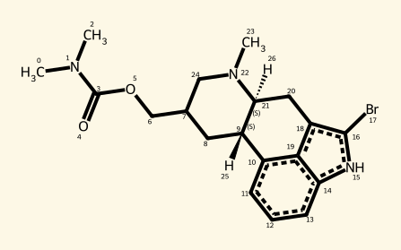 CN(C)C(=O)OCC1C[C@H]2c3cccc4[nH]c(Br)c(c34)C[C@@H]2N(C)C1